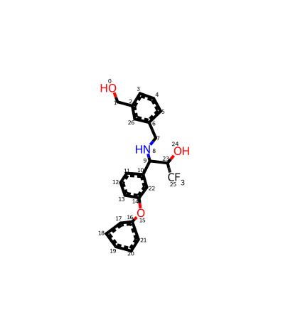 OCc1cccc(CNC(c2cccc(Oc3ccccc3)c2)C(O)C(F)(F)F)c1